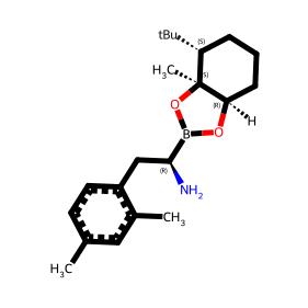 Cc1ccc(C[C@H](N)B2O[C@@H]3CCC[C@@H](C(C)(C)C)[C@]3(C)O2)c(C)c1